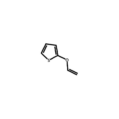 C=COc1cccs1